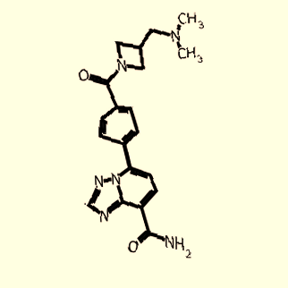 CN(C)CC1CN(C(=O)c2ccc(-c3ccc(C(N)=O)c4n[c]nn34)cc2)C1